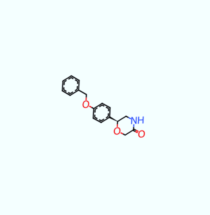 O=C1CO[C@@H](c2ccc(OCc3ccccc3)cc2)CN1